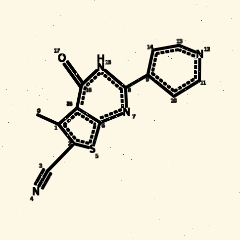 Cc1c(C#N)sc2nc(-c3ccncc3)[nH]c(=O)c12